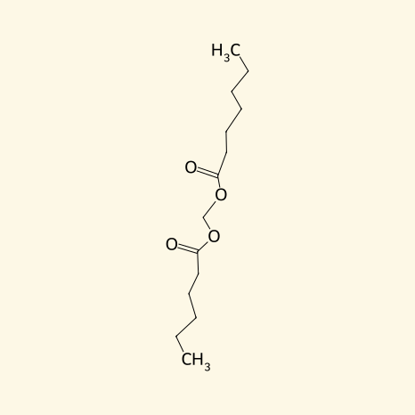 CCCCCCC(=O)OCOC(=O)CCCCC